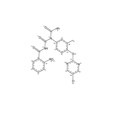 CCCC(=O)N(C(=O)NC(=O)c1ccccc1[N+](=O)[O-])c1ccc(Oc2ncc(Cl)cn2)c(C)c1